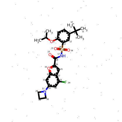 CC(C)Oc1ccc(C(C)(C)C)cc1S(=O)(=O)NC(=O)c1cc2c(F)cc(N3CCC3)cc2o1